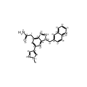 Cn1cc(-c2cc(CC(N)=O)c3nnn(Cc4ccc5ncccc5c4)c3n2)cn1